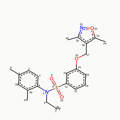 Cc1ccc(N(CC(C)C)S(=O)(=O)c2cccc(OCc3c(C)noc3C)c2)c(C)c1